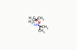 CC(C)NOC(C)(C)C